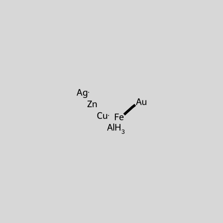 [Ag].[AlH3].[Cu].[Fe][Au].[Zn]